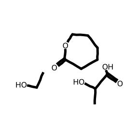 CC(O)C(=O)O.CCO.O=C1CCCCCO1